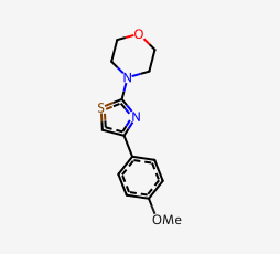 COc1ccc(-c2csc(N3CCOCC3)n2)cc1